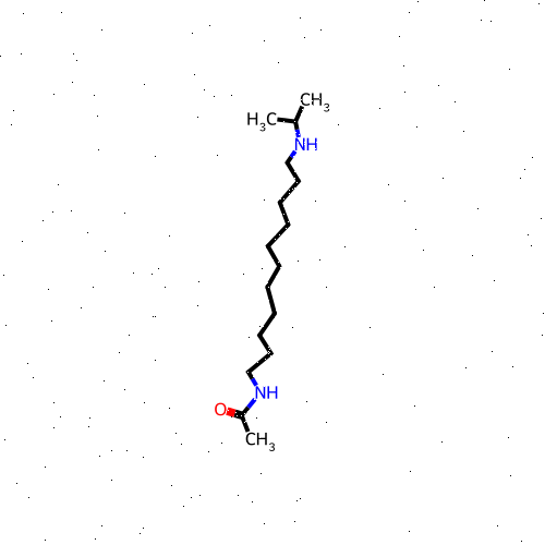 CC(=O)NCCCCCCCCCCCNC(C)C